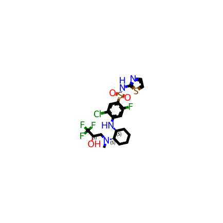 CN(C[C@H](O)C(F)(F)F)[C@H]1CCCC[C@@H]1Nc1cc(F)c(S(=O)(=O)Nc2nccs2)cc1Cl